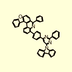 c1ccc(-c2nc(-c3ccc(-c4cccc5c4nc(-c4ccccc4)c4ccc6oc7ccccc7c6c45)cc3)cc(-n3c4ccccc4c4ccccc43)n2)cc1